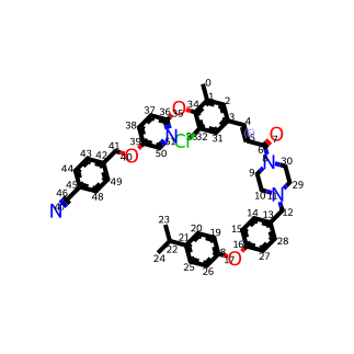 Cc1cc(/C=C/C(=O)N2CCN(Cc3ccc(Oc4ccc(C(C)C)cc4)cc3)CC2)cc(Cl)c1Oc1ccc(OCc2ccc(C#N)cc2)cn1